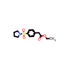 CCOC(=O)Cc1ccc(S(=O)(=O)N2CCCC2)cc1